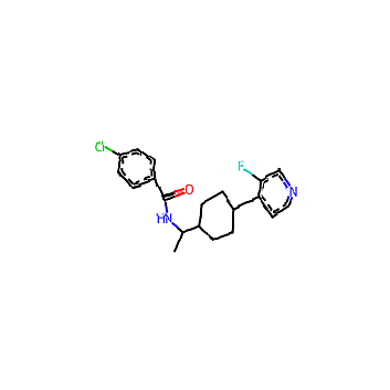 CC(NC(=O)c1ccc(Cl)cc1)C1CCC(c2ccncc2F)CC1